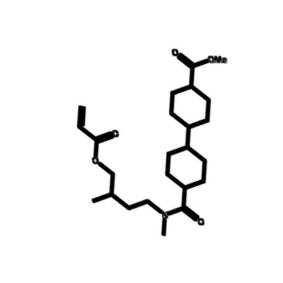 C=CC(=O)OCC(C)CCN(C)C(=O)C1CCC(C2CCC(C(=O)OC)CC2)CC1